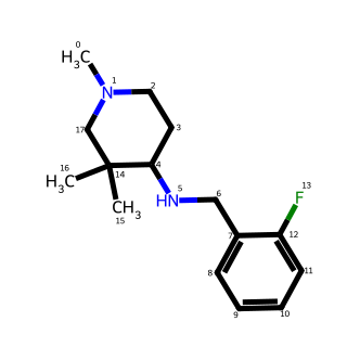 CN1CCC(NCc2ccccc2F)C(C)(C)C1